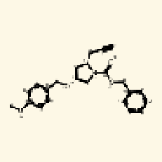 C#CC[C@@H]1C[C@@H](OCc2ccc(OC)cc2)CN1C(=O)OCc1ccccc1